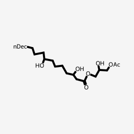 CCCCCCCCCCCCCC(O)CCCCC(O)CC(=O)OCC(O)COC(C)=O